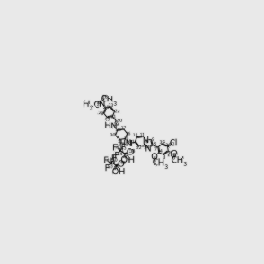 COc1cc(OC)c(-c2cn3ccc(N[C@H]4CC[C@@H](NCc5ccc(N(C)C)cc5)CC4)cc3n2)cc1Cl.O=C(O)C(F)(F)F.O=C(O)C(F)(F)F